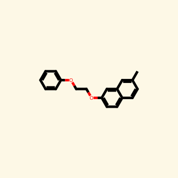 Cc1ccc2ccc(OCCOc3ccccc3)cc2c1